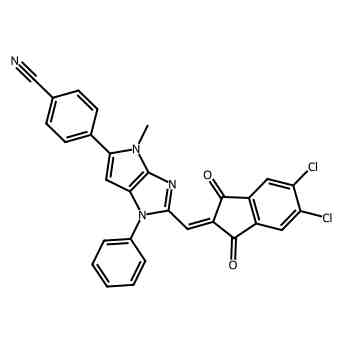 Cn1c(-c2ccc(C#N)cc2)cc2c1nc(C=C1C(=O)c3cc(Cl)c(Cl)cc3C1=O)n2-c1ccccc1